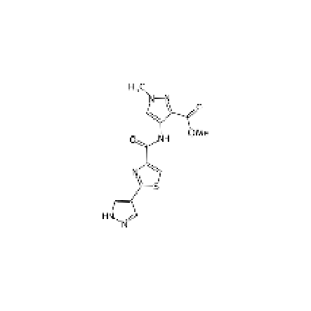 COC(=O)c1nn(C)cc1NC(=O)c1csc(-c2cn[nH]c2)n1